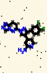 Nc1cc(-c2cn(C3=Nn4cnnc4CC3)nc2-c2ccc(F)c(F)c2)ccn1